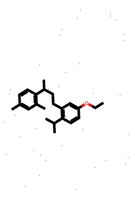 CCOc1ccc(C(C)C)c(CCC(C)c2ccc(C)cc2C)c1